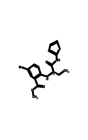 CC[C@@H](Nc1ccc(Br)cc1C(=O)OC)C(=O)Nc1nccs1